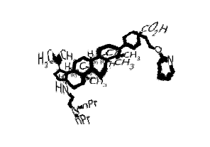 C=C(C)[C@@H]1CC[C@]2(NCCN(CCC)CCC)CC[C@]3(C)[C@H](CC[C@@H]4[C@@]5(C)CC=C(C6=CCC(CCOc7ccccn7)(C(=O)O)CC6)C(C)(C)[C@@H]5CC[C@]43C)[C@@H]12